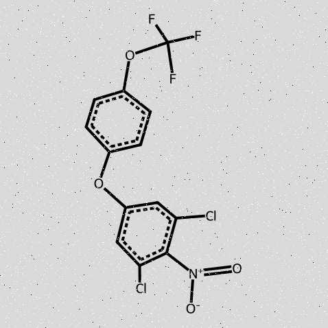 O=[N+]([O-])c1c(Cl)cc(Oc2ccc(OC(F)(F)F)cc2)cc1Cl